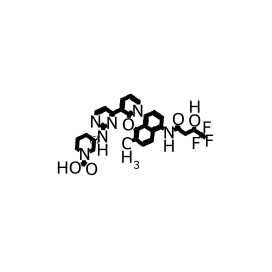 Cc1ccc2c(NC(=O)CC(O)C(F)(F)F)cccc2c1Oc1ncccc1-c1ccnc(N[C@H]2CCCN(C(=O)O)C2)n1